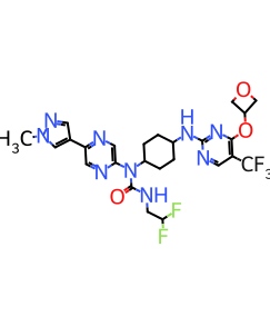 Cn1cc(-c2cnc(N(C(=O)NCC(F)F)C3CCC(Nc4ncc(C(F)(F)F)c(OC5COC5)n4)CC3)cn2)cn1